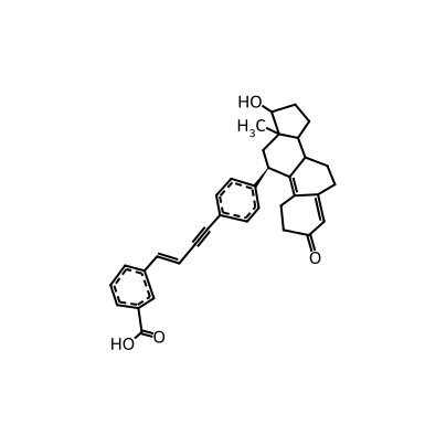 CC12C[C@H](c3ccc(C#C/C=C/c4cccc(C(=O)O)c4)cc3)C3=C4CCC(=O)C=C4CCC3C1CCC2O